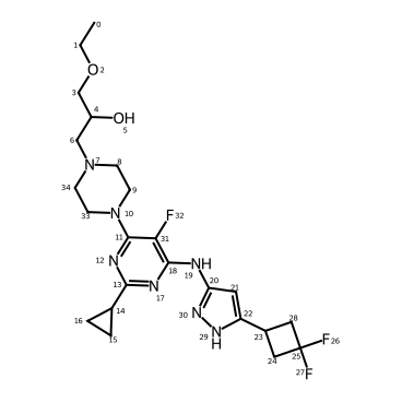 CCOCC(O)CN1CCN(c2nc(C3CC3)nc(Nc3cc(C4CC(F)(F)C4)[nH]n3)c2F)CC1